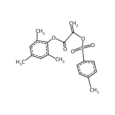 C=C(OS(=O)(=O)c1ccc(C)cc1)C(=O)Oc1c(C)cc(C)cc1C